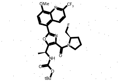 COc1ccc(-c2nc(C(=O)N3CCC[C@@H]3CF)c([C@H](C)NC(=O)OC(C)(C)C)o2)c2ccc(C(F)(F)F)nc12